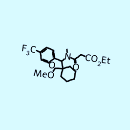 CCOC(=O)CC(=O)N(C)C(c1ccc(C(F)(F)F)cc1)C1(C(=O)OC)CCCCC1